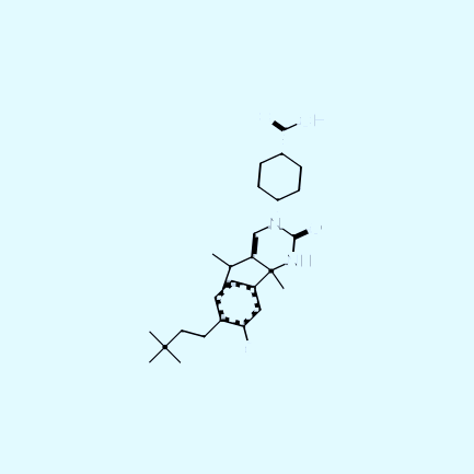 CC(C)C1=CN([C@H]2CC[C@@H](C(=O)O)CC2)C(=O)NC1(C)c1ccc(CCC(C)(C)C)c(Cl)c1